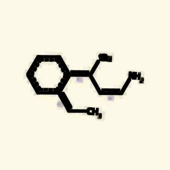 C/C=c1/cccc/c1=C(/C=C\N)C(C)(C)C